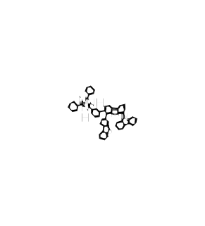 c1ccc(C2=NC(c3ccccc3)NC(c3cccc(-c4ccc5c(oc6c(-n7c8ccccc8c8ccccc87)cccc65)c4-c4ccc5c(c4)sc4ccccc45)c3)N2)cc1